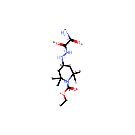 CCOC(=O)N1C(C)(C)CC(NNC(=O)C(N)=O)CC1(C)C